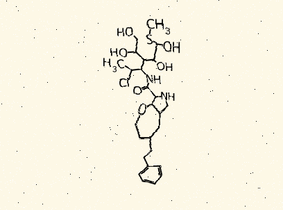 CSC(O)C(O)C(C(O)CO)C(NC(=O)C1NCC2CC(CCc3ccccc3)CCOC21)C(C)Cl